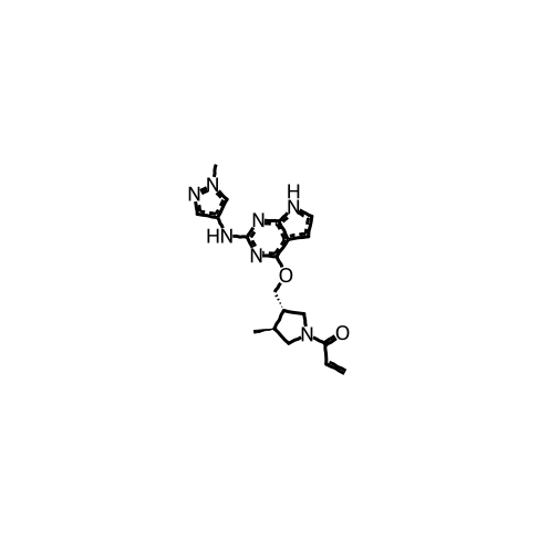 C=CC(=O)N1C[C@@H](COc2nc(Nc3cnn(C)c3)nc3[nH]ccc23)[C@H](C)C1